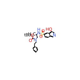 CC(CN(CCc1ccccc1)C(=O)OC(C)(C)C)NS(=O)(=O)c1ccc2cncc(O)c2c1